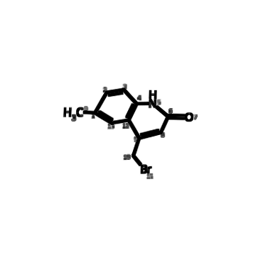 Cc1ccc2[nH]c(=O)cc(CBr)c2c1